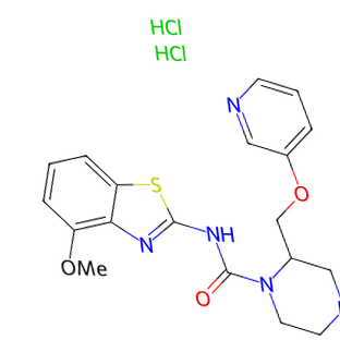 COc1cccc2sc(NC(=O)N3CCNCC3COc3cccnc3)nc12.Cl.Cl